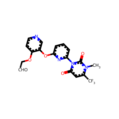 Cn1c(C(F)(F)F)cc(=O)n(-c2cccc(Oc3cnccc3OCC=O)n2)c1=O